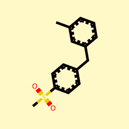 Cc1cccc(Cc2ccc(S(C)(=O)=O)cc2)c1